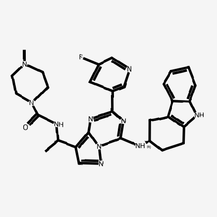 CC(NC(=O)N1CCN(C)CC1)c1cnn2c(N[C@@H]3CCc4[nH]c5ccccc5c4C3)nc(-c3cncc(F)c3)nc12